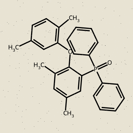 Cc1ccc(C)c(Oc2c(C)cc(C)cc2P(=O)(c2ccccc2)c2ccccc2)c1